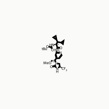 COC[C@H](c1ccnc(NC(=O)[C@@H](NC(=O)OC(C)(C)C)C(C2CC2)C2CC2)c1)N1C[C@@H](C(F)(F)F)NC1=O